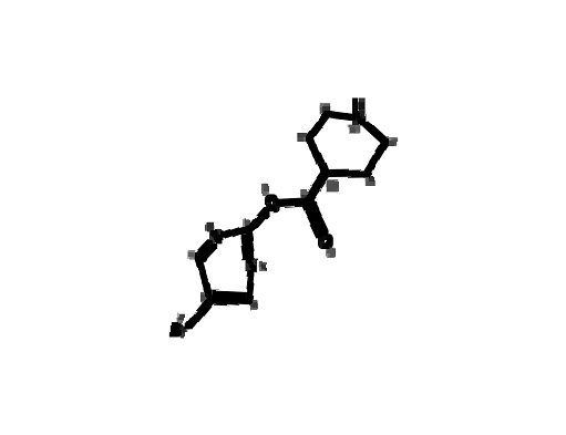 O=C(Oc1ncc(Br)cn1)C1CCNCC1